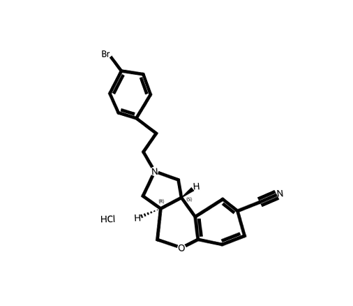 Cl.N#Cc1ccc2c(c1)[C@H]1CN(CCc3ccc(Br)cc3)C[C@@H]1CO2